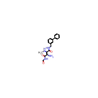 CN/C(C(=O)NCc1cccc(-c2ccccc2)c1)=C(/N)C(=O)NC=O